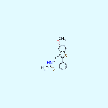 COc1ccc2sc(-c3ccccc3)c(CCNC(C)=S)c2c1